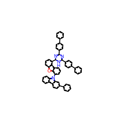 c1ccc(-c2ccc(C3=NC(c4cccc5oc6c(-n7c8ccccc8c8ccc(-c9ccccc9)cc87)cccc6c45)NC(c4ccc(-c5ccccc5)cc4)=N3)cc2)cc1